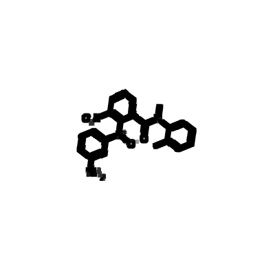 Cc1ccccc1N(C)C(=O)c1cccc([N+](=O)[O-])c1[S+]([O-])c1cccc(N)c1